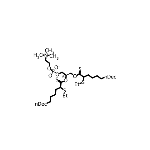 CCCCCCCCCCCCCCC(SCC)C(=S)OC[C@H](COP(=O)([O-])OCC[N+](C)(C)C)OC(=S)C(CCCCCCCCCCCCCC)SCC